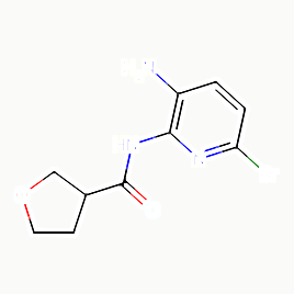 Nc1ccc(Br)nc1NC(=O)C1CCOC1